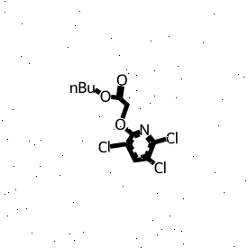 CCCCOC(=O)COc1nc(Cl)c(Cl)cc1Cl